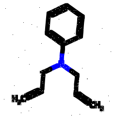 C=C[CH]N(CC=C)c1ccccc1